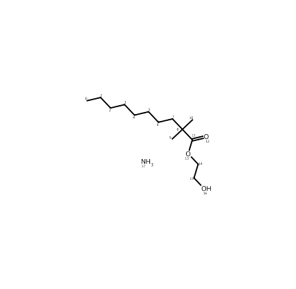 CCCCCCCCC(C)(C)C(=O)OCCO.N